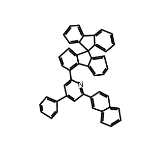 c1ccc(-c2cc(-c3ccc4ccccc4c3)nc(-c3cccc4c3-c3ccccc3C43c4ccccc4-c4ccccc43)c2)cc1